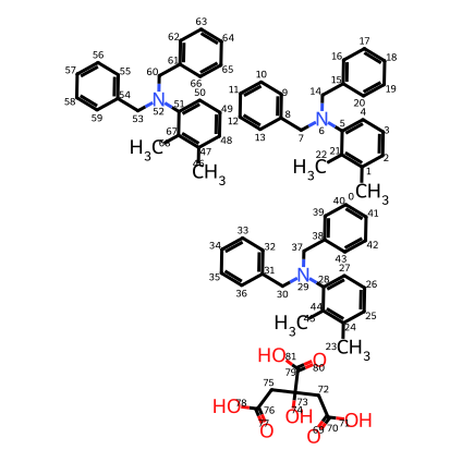 Cc1cccc(N(Cc2ccccc2)Cc2ccccc2)c1C.Cc1cccc(N(Cc2ccccc2)Cc2ccccc2)c1C.Cc1cccc(N(Cc2ccccc2)Cc2ccccc2)c1C.O=C(O)CC(O)(CC(=O)O)C(=O)O